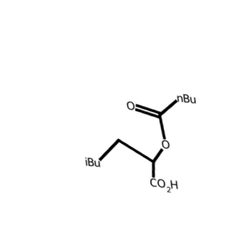 CCCCC(=O)OC(CC(C)CC)C(=O)O